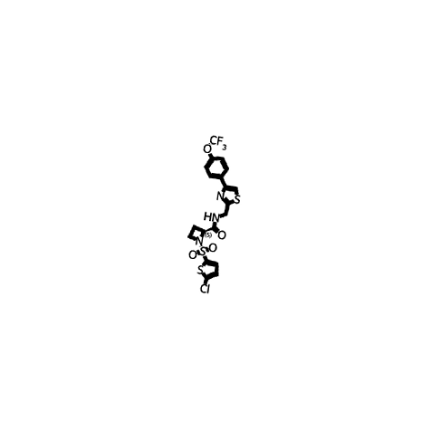 O=C(NCc1nc(-c2ccc(OC(F)(F)F)cc2)cs1)[C@@H]1CCN1S(=O)(=O)c1ccc(Cl)s1